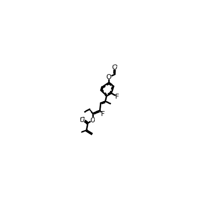 C=C(C)C(=O)O/C(CC)=C(F)/C=C(\C)c1ccc(OC=O)cc1F